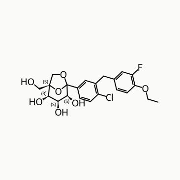 CCOc1ccc(Cc2cc(C34OC[C@](CO)(O3)[C@H](O)[C@H](O)[C@@H]4O)ccc2Cl)cc1F